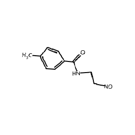 Cc1ccc(C(=O)NCCN=O)cc1